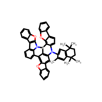 Cc1cc2c(cc1N1c3cc4c(oc5ccccc54)c4c3B(c3c1ccc1c3oc3ccccc31)n1c3oc5ccccc5c3c3cccc-4c31)C(C)(C)CCC2(C)C